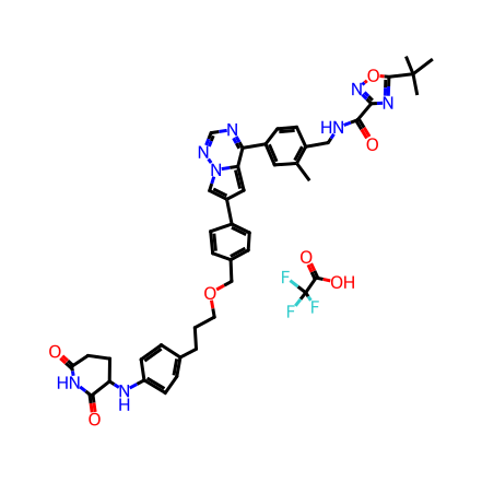 Cc1cc(-c2ncnn3cc(-c4ccc(COCCCc5ccc(NC6CCC(=O)NC6=O)cc5)cc4)cc23)ccc1CNC(=O)c1noc(C(C)(C)C)n1.O=C(O)C(F)(F)F